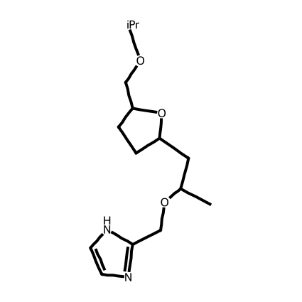 CC(C)OCC1CCC(CC(C)OCc2ncc[nH]2)O1